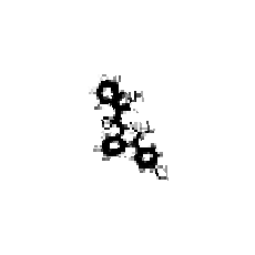 C[C@@H](Cc1ccc(Cl)cc1)N[C@@H](C(=O)c1c[nH]c2ccccc12)c1ccccc1